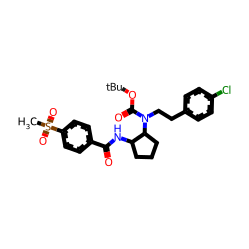 CC(C)(C)OC(=O)N(CCc1ccc(Cl)cc1)C1CCCC1NC(=O)c1ccc(S(C)(=O)=O)cc1